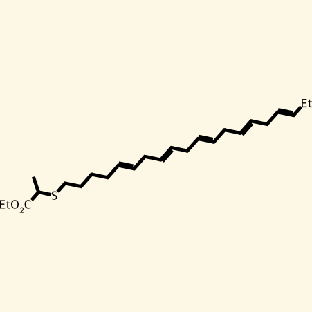 CCC=CCC=CCC=CCC=CCC=CCCCCSC(C)C(=O)OCC